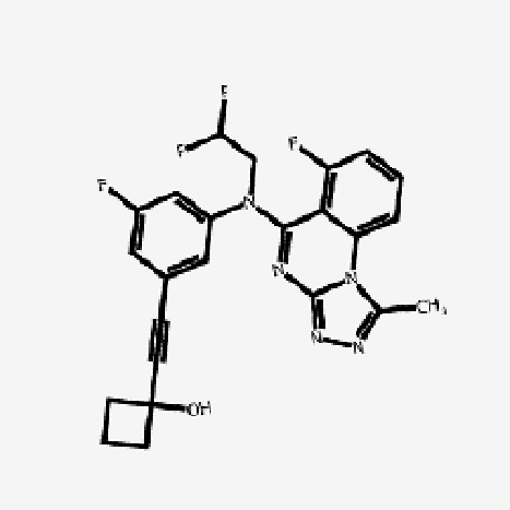 Cc1nnc2nc(N(CC(F)F)c3cc(F)cc(C#CC4(O)CCC4)c3)c3c(F)cccc3n12